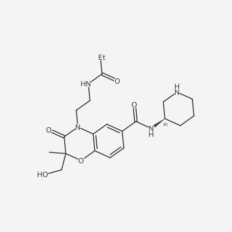 CCC(=O)NCCN1C(=O)C(C)(CO)Oc2ccc(C(=O)N[C@@H]3CCCNC3)cc21